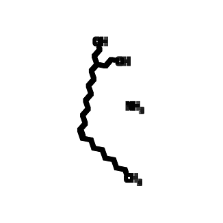 CCCCCCCC/C=C\CCCCCCCC[C](CCO)CCO.N